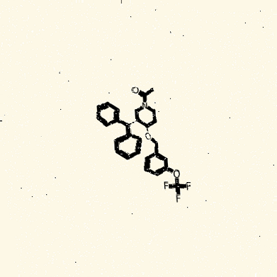 CC(=O)N1CC[C@H](OCc2cccc(OC(F)(F)F)c2)[C@H](C(c2ccccc2)c2ccccc2)C1